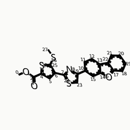 COC(=O)c1cc(-c2nc(-c3ccc4c(c3)oc3ccccc34)cs2)c(SC)s1